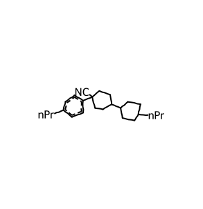 CCCc1ccc(C2(C#N)CCC(C3CCC(CCC)CC3)CC2)cc1